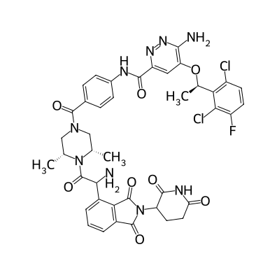 C[C@@H]1CN(C(=O)c2ccc(NC(=O)c3cc(O[C@H](C)c4c(Cl)ccc(F)c4Cl)c(N)nn3)cc2)C[C@H](C)N1C(=O)C(N)c1cccc2c1C(=O)N(C1CCC(=O)NC1=O)C2=O